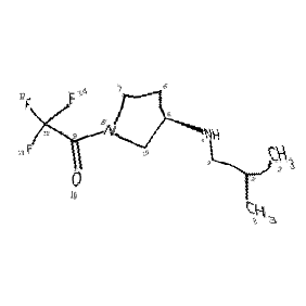 CC(C)CN[C@@H]1CCN(C(=O)C(F)(F)F)C1